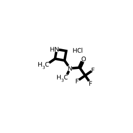 CC1NCC1N(C)C(=O)C(F)(F)F.Cl